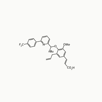 C=CCc1cc(/C=C/C(=O)O)cc(OC)c1OC(CCCC)c1cccc(-c2ccc(C(F)(F)F)cc2)n1